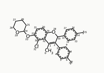 CC1=C(c2ccc(F)cc2)C(c2ccc(I)cc2)Oc2ccc(OC3CCCCO3)c(Cl)c21